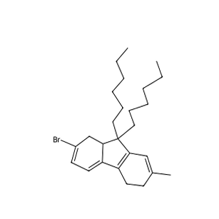 CCCCCCC1(CCCCCC)C2=C(CCC(C)=C2)C2=CC=C(Br)CC21